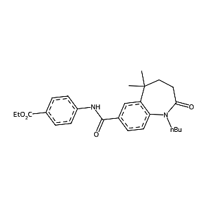 CCCCN1C(=O)CCC(C)(C)c2cc(C(=O)Nc3ccc(C(=O)OCC)cc3)ccc21